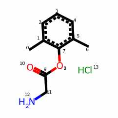 Cc1cccc(C)c1OC(=O)CN.Cl